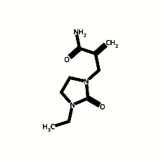 C=C(CN1CCN(CC)C1=O)C(N)=O